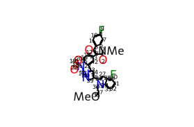 CNC(=O)c1c(-c2ccc(F)cc2)oc2cc(N(C)S(C)(=O)=O)c(-c3cc(-c4cc5c(F)cccc5n4CCOC)cnn3)cc12